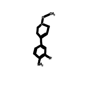 CON1CC=C(c2ccc(N)c(Br)c2)CC1